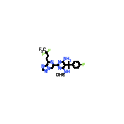 CC(C)(c1ccc(F)cc1)c1c(N)nc(-c2cn3ncnc3c(CCC(F)(F)C(F)(F)F)n2)nc1NC=O